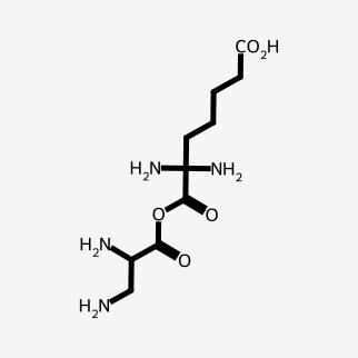 NCC(N)C(=O)OC(=O)C(N)(N)CCCCC(=O)O